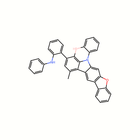 Cc1cc(-c2ccccc2Nc2ccccc2)c2c3c1c1cc4c(cc1n3-c1ccccc1B2)oc1ccccc14